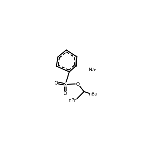 CCCCC(CCC)OS(=O)(=O)c1ccccc1.[Na]